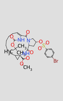 COC(=O)[C@@]12CC1/C=C\CCCC/C=C(\NC(=O)OC(C)(C)C)C(=O)N1CC(OS(=O)(=O)c3ccc(Br)cc3)CC1C(=O)N2